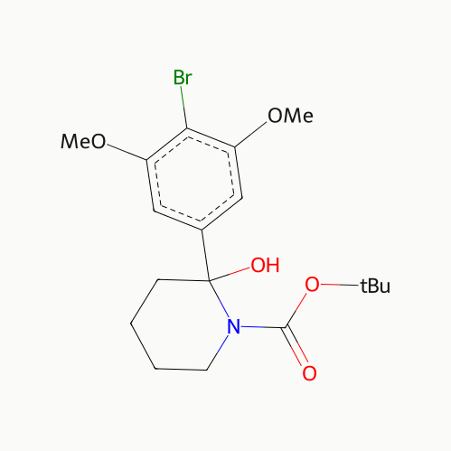 COc1cc(C2(O)CCCCN2C(=O)OC(C)(C)C)cc(OC)c1Br